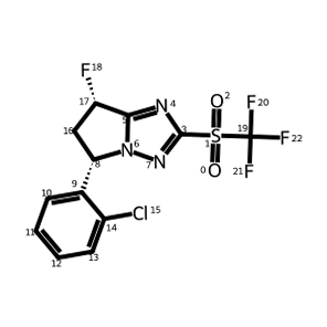 O=S(=O)(c1nc2n(n1)[C@H](c1ccccc1Cl)C[C@@H]2F)C(F)(F)F